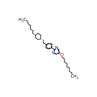 CCCCCCCCCOc1cnc(-c2ccc(CC[C@H]3CC[C@H](CCCCCCC)CC3)cc2)nc1